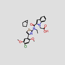 C1CC2CC2C1.CCN(C(=O)c1cc2ccccc2n1CC(=O)O)c1nc(-c2cc(OC)c(Cl)cc2OC)cs1